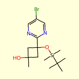 CC1(O)CC(O[Si](C)(C)C(C)(C)C)(c2ncc(Br)cn2)C1